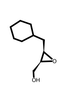 OC[C@@H]1O[C@@H]1CC1CCCCC1